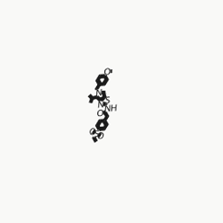 CCS(=O)(=O)c1ccc(CC(=O)Nc2nc3c(s2)CN(Cc2ccc(OC)cc2)C3C(C)C)cc1